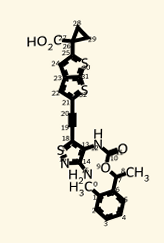 Cc1ccccc1C(C)OC(=O)Nc1c(N)nsc1C#Cc1cc2cc(C3(C(=O)O)CC3)sc2s1